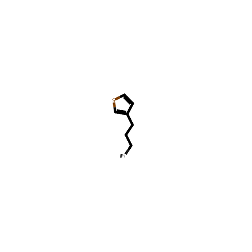 CC(C)CCCc1ccsc1